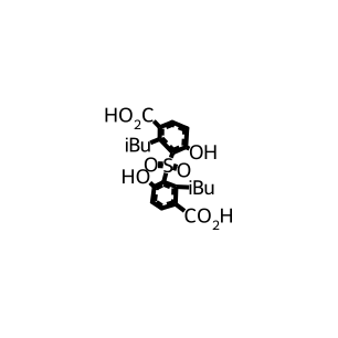 CCC(C)c1c(C(=O)O)ccc(O)c1S(=O)(=O)c1c(O)ccc(C(=O)O)c1C(C)CC